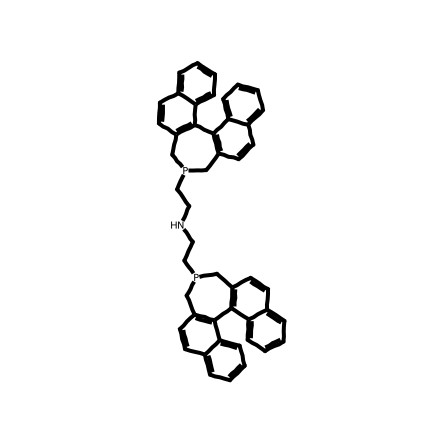 c1ccc2c3c(ccc2c1)CP(CCNCCP1Cc2ccc4ccccc4c2-c2c(ccc4ccccc24)C1)Cc1ccc2ccccc2c1-3